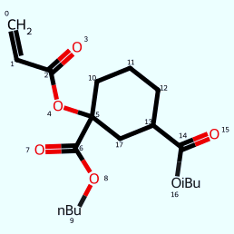 C=CC(=O)OC1(C(=O)OCCCC)CCCC(C(=O)OCC(C)C)C1